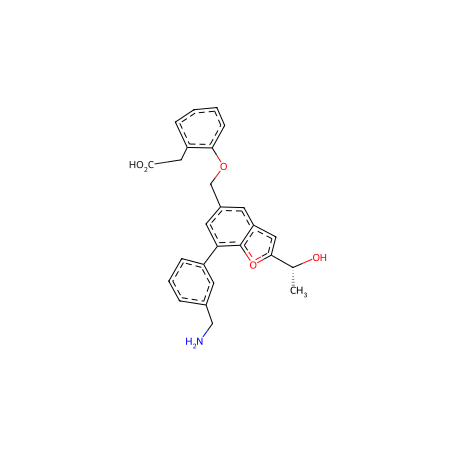 C[C@@H](O)c1cc2cc(COc3ccccc3CC(=O)O)cc(-c3cccc(CN)c3)c2o1